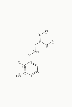 CCOC(CNCc1cccc(O)c1C)OCC